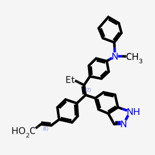 CC/C(=C(\c1ccc(/C=C/C(=O)O)cc1)c1ccc2[nH]ncc2c1)c1ccc(N(C)c2ccccc2)cc1